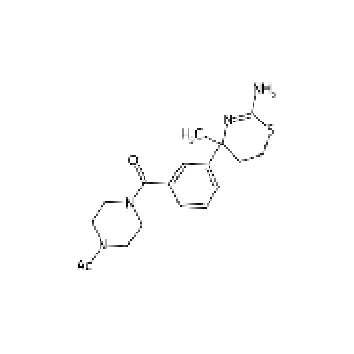 CC(=O)N1CCN(C(=O)c2cccc(C3(C)CCSC(N)=N3)c2)CC1